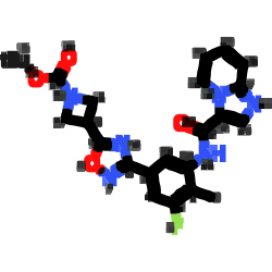 Cc1c(F)cc(-c2noc(C3CN(C(=O)OC(C)(C)C)C3)n2)cc1NC(=O)c1cnc2ccccn12